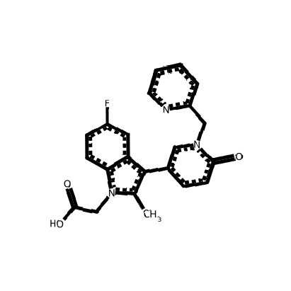 Cc1c(-c2ccc(=O)n(Cc3ccccn3)c2)c2cc(F)ccc2n1CC(=O)O